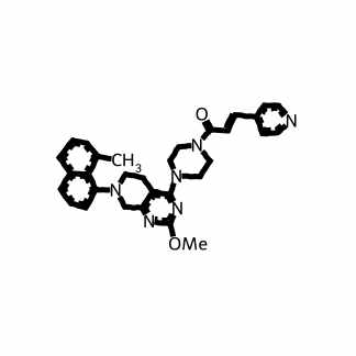 COc1nc2c(c(N3CCN(C(=O)/C=C/c4ccncc4)CC3)n1)CCN(c1cccc3cccc(C)c13)C2